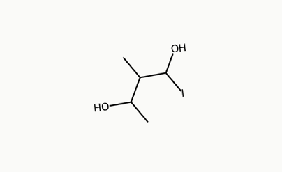 CC(O)C(C)C(O)I